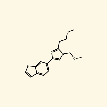 COCCc1nc(-c2ccc3ccoc3c2)cn1COC